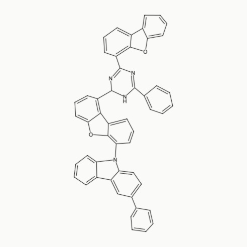 c1ccc(C2=NC(c3cccc4c3oc3ccccc34)=NC(c3cccc4oc5c(-n6c7ccccc7c7cc(-c8ccccc8)ccc76)cccc5c34)N2)cc1